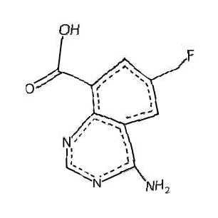 Nc1ncnc2c(C(=O)O)cc(F)cc12